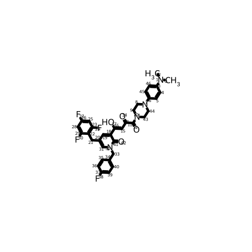 CN(C)c1ccc(N2CCN(C(=O)C(=O)C=C(O)c3cc(Cc4c(F)cc(F)cc4F)cn(Cc4ccc(F)cc4)c3=O)CC2)cc1